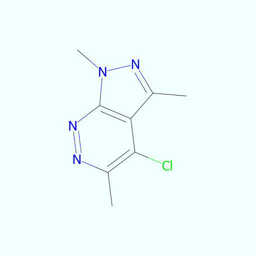 Cc1nnc2c(c(C)nn2C)c1Cl